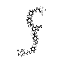 COC(C)CCOc1ccc(OCOc2ccc(C(=O)Oc3ccc(OC(=O)c4ccc(Oc5ccc(OCCC(C)CO)cc5)cc4)c4sc(=S)sc34)cc2)cc1